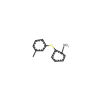 [CH2]c1cccc(Sc2ccccc2[N+](=O)[O-])c1